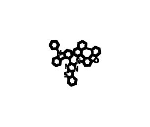 c1ccc(-n2c3ccccc3c3c(-c4nc5sc6ccccc6c5nc4-n4c5ccc6cccc7c6c5c5c6c(ccc54)oc4cccc-7c46)cccc32)cc1